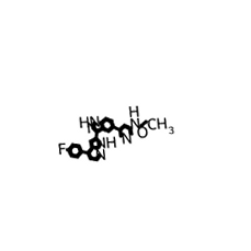 CCC(=O)Nc1cncc(-c2ccc3[nH]nc(-c4cc5c(-c6ccc(F)cc6)ccnc5[nH]4)c3c2)c1